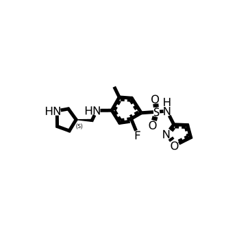 Cc1cc(S(=O)(=O)Nc2ccon2)c(F)cc1NC[C@H]1CCNC1